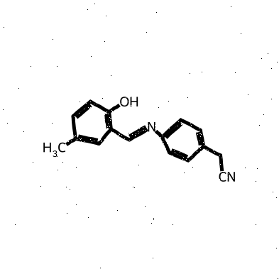 Cc1ccc(O)c(/C=N/c2ccc(CC#N)cc2)c1